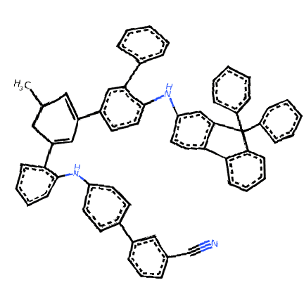 CC1C=C(c2ccc(Nc3ccc4c(c3)C(c3ccccc3)(c3ccccc3)c3ccccc3-4)c(-c3ccccc3)c2)C=C(c2ccccc2Nc2ccc(-c3cccc(C#N)c3)cc2)C1